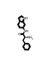 N[C@@H](Cc1ccccc1)C(=O)Nc1ccc2cc[nH]c2c1